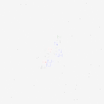 CCCCNC(=O)Nc1ccc(F)c(C(=O)c2c[nH]c3ncc(-c4ccc(Br)cn4)cc23)c1